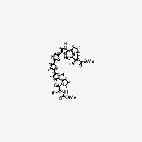 COC(=O)N[C@H](C(=O)N1CCC[C@H]1c1ncc(-c2cnc(-c3ncc(C4=CNC([C@@H]5CCCN5C(=O)[C@@H](NC(=O)OC)C(C)C)N4)s3)s2)[nH]1)C(C)C